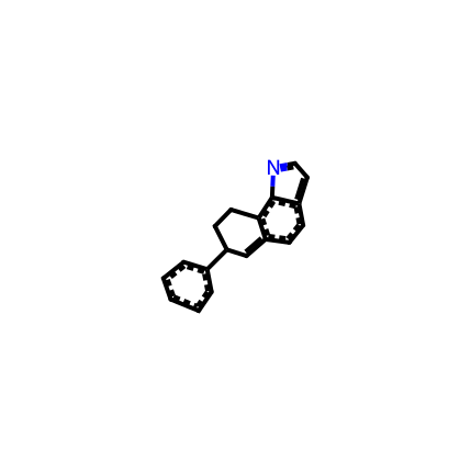 C1=Nc2c3c(ccc2=C1)=CC(c1ccccc1)CC3